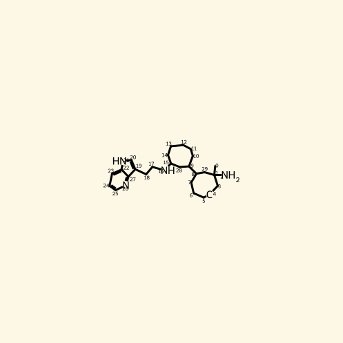 CC1(N)CCCCCC(C2CCCCCC(NCCc3c[nH]c4cccnc34)C2)C1